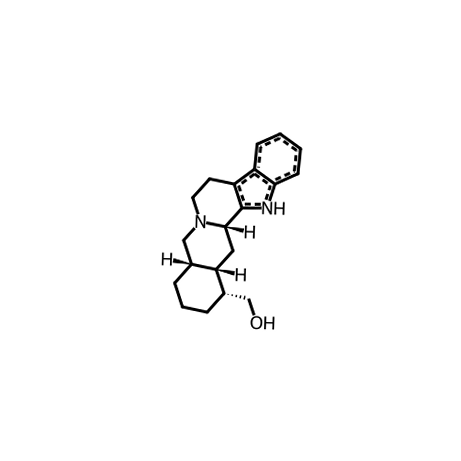 OC[C@@H]1CCC[C@@H]2CN3CCc4c([nH]c5ccccc45)[C@@H]3C[C@H]12